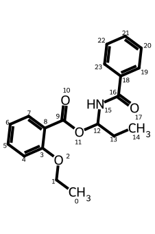 CCOc1ccccc1C(=O)OC(CC)NC(=O)c1ccccc1